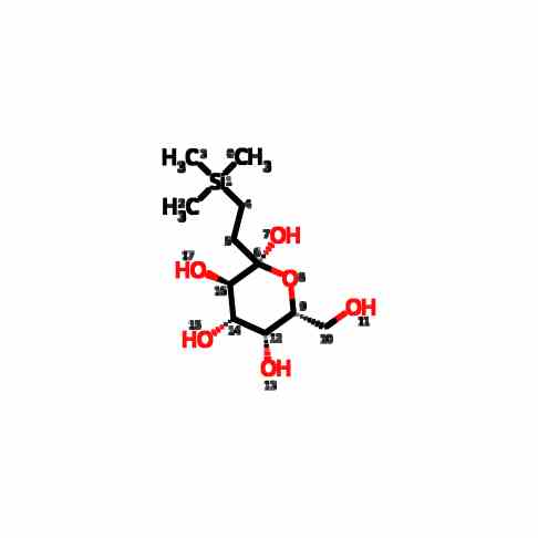 C[Si](C)(C)CC[C@@]1(O)O[C@H](CO)[C@H](O)[C@H](O)[C@H]1O